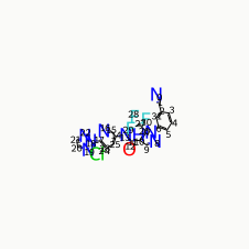 N#Cc1cccc(-n2ncc(C(=O)Nc3cnc(-n4nccn4)c(Cl)c3)c2C(F)(F)F)c1